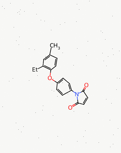 CCc1cc(C)ccc1Oc1ccc(N2C(=O)C=CC2=O)cc1